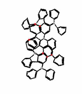 c1ccc(-c2cccc(-c3ccccc3)c2N(c2cccc(N(c3ccccc3)c3cc(N(c4ccccc4)c4ccccc4)c4c5ccccc5n(-c5ccccc5)c4c3)c2)c2cc(N(c3ccccc3)c3ccccc3)c3c4ccccc4n(-c4ccccc4)c3c2)cc1